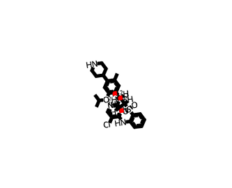 [2H]C([2H])([2H])C([2H])(C([2H])([2H])[2H])S(=O)(=O)c1ccccc1Nc1nc(Nc2cc(C)c(C3CCNCC3)cc2OC(C)C)ncc1Cl